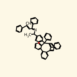 C/C(=C\C(=N/C(C)c1ccc(C2(c3ccccc3)c3ccccc3-c3ccccc3-c3cccc2c3-c2ccccc2)cc1)c1ccccc1)c1ccccc1